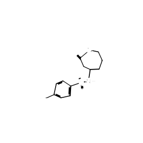 O=C1CC(NS(=O)(=O)c2ccc(Cl)cc2)CCCN1